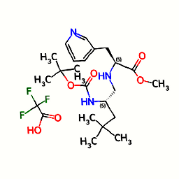 COC(=O)[C@H](Cc1cccnc1)NC[C@H](CC(C)(C)C)NC(=O)OC(C)(C)C.O=C(O)C(F)(F)F